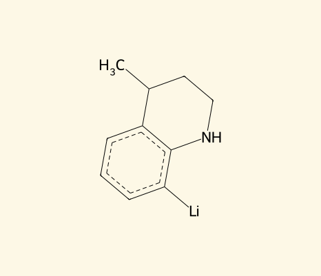 [Li][c]1cccc2c1NCCC2C